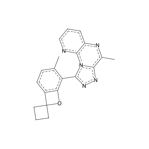 Cc1ccc2c(c1-c1nnc3c(C)nc4cccnc4n13)OC21CCC1